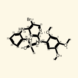 COc1cc(OC)c(OC)cc1Nc1ncc(Br)c(Nc2ccccc2NS(C)(=O)=O)n1